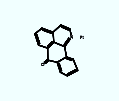 O=C1c2ccccc2-c2nccc3cccc1c23.[Pt]